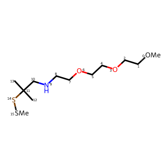 COCCOCCOCCNCC(C)(C)SSC